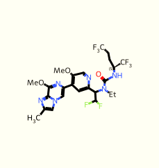 CCN(C(=O)N[C@@H](CCC(F)(F)F)C(F)(F)F)C(c1cc(-c2cn3cc(C)nc3c(OC)n2)c(OC)cn1)C(F)F